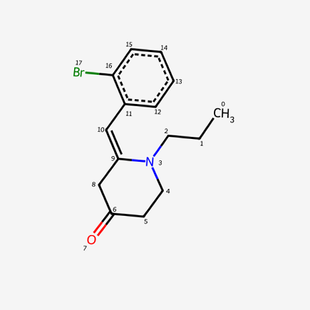 CCCN1CCC(=O)CC1=Cc1ccccc1Br